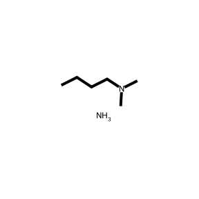 CCCCN(C)C.N